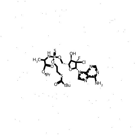 CC(C)OC(=O)C(C)NP(=S)(OCCSC(=O)C(C)(C)C)OC[C@H]1O[C@@H](n2cnc3c(N)ncnc32)[C@](F)(Cl)[C@@H]1O